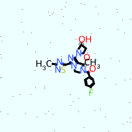 Cc1nsc(-c2nc(N3C[C@H](O)CC3=O)c3n2CCN(C(=O)c2ccc(F)cc2)[C@@H]3C)n1